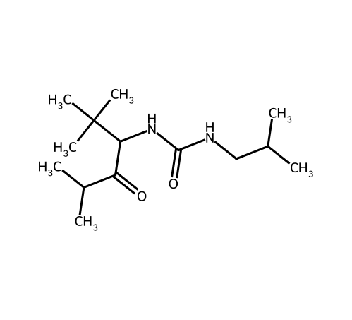 CC(C)CNC(=O)NC(C(=O)C(C)C)C(C)(C)C